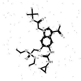 CCOP(=O)(COc1cc2c(cc1NC(=O)NC1CC1)c(C(C)=O)cn2CC(=O)OC(C)(C)C)OCC